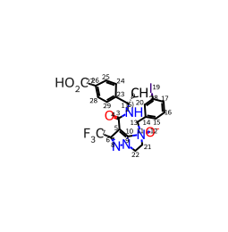 C[C@H](NC(=O)c1c(C(F)(F)F)nn2c1[N+]([O-])(Cc1cccc(I)c1)CC2)c1ccc(C(=O)O)cc1